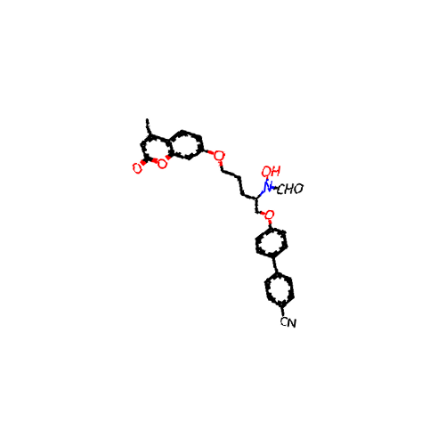 Cc1cc(=O)oc2cc(OCCCC(COc3ccc(-c4ccc(C#N)cc4)cc3)N(O)C=O)ccc12